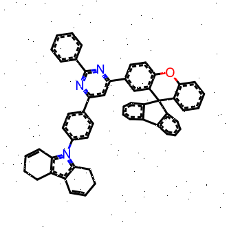 C1=Cc2c(c3c(n2-c2ccc(-c4cc(-c5ccc6c(c5)C5(c7ccccc7O6)c6ccccc6-c6ccccc65)nc(-c5ccccc5)n4)cc2)CCC=C3)CC1